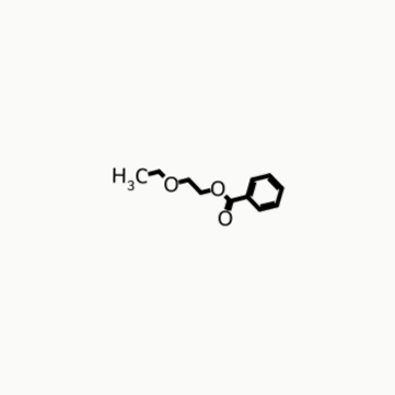 CCOCCOC(=O)c1ccccc1